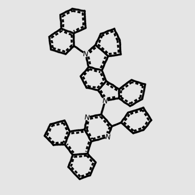 c1ccc(-c2nc3c4ccccc4c4ccccc4c3nc2-n2c3ccccc3c3c4c5ccccc5n(-c5cccc6ccccc56)c4ccc32)cc1